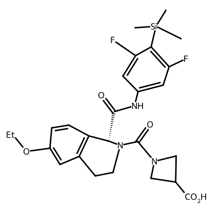 CCOc1ccc2c(c1)CCN(C(=O)N1CC(C(=O)O)C1)[C@H]2C(=O)Nc1cc(F)c([Si](C)(C)C)c(F)c1